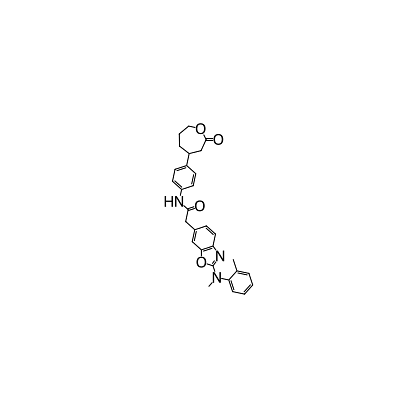 Cc1ccccc1N(C)c1nc2ccc(CC(=O)Nc3ccc(C4CCCOC(=O)C4)cc3)cc2o1